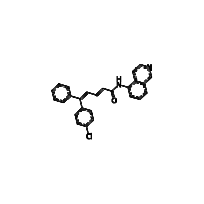 O=C(/C=C/C=C(/c1ccccc1)c1ccc(Cl)cc1)Nc1cccc2cnccc12